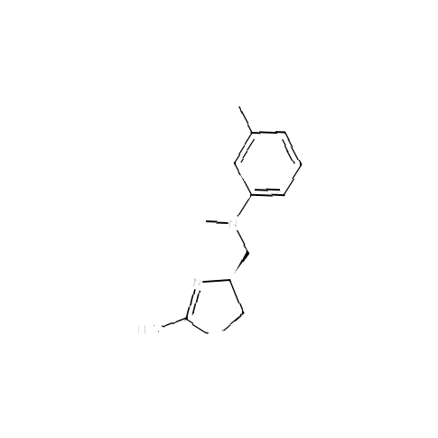 CN(C[C@H]1COC(N)=N1)c1cccc(Cl)c1